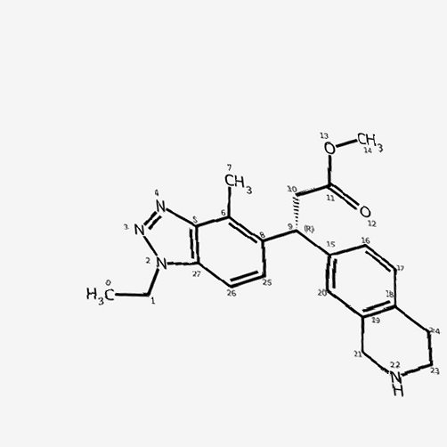 CCn1nnc2c(C)c([C@H](CC(=O)OC)c3ccc4c(c3)CNCC4)ccc21